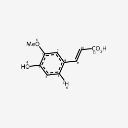 [2H]c1cc(O)c(OC)cc1/C=C/C(=O)O